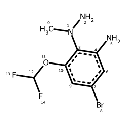 CN(N)c1c(N)cc(Br)cc1OC(F)F